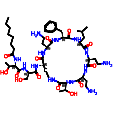 CCCCCCCC(=O)N[C@H](C(=O)N[C@H](CO)C(=O)N[C@H]1CCNC(=O)[C@H](C(C)O)NC(=O)[C@H](CCN)NC(=O)[C@H](CCN)NC(=O)[C@H](CC(C)C)NC(=O)[C@@H](Cc2ccccc2)NC(=O)[C@H](CCN)NC1=O)C(C)O